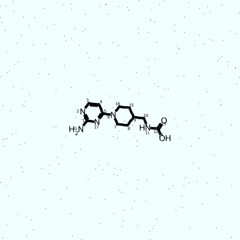 Nc1nccc(N2CCC(CNC(=O)O)CC2)n1